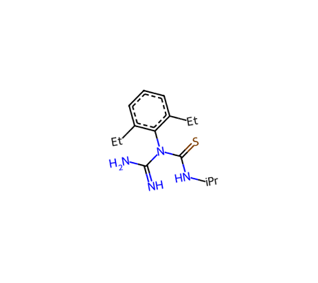 CCc1cccc(CC)c1N(C(=N)N)C(=S)NC(C)C